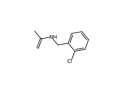 C=C(C)NCc1ccccc1Cl